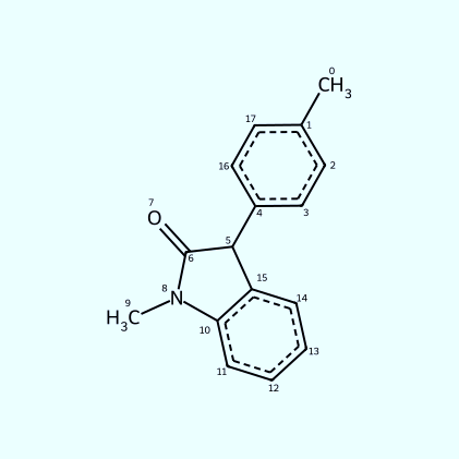 Cc1ccc(C2C(=O)N(C)c3ccccc32)cc1